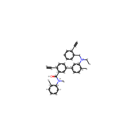 C#Cc1ccccc1CN(CC)c1cc(-c2ccc(C#C)c(C(=O)N(C)c3ccccc3C)c2)ccc1C